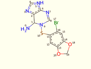 NC1c2nc[nH]c2N=CN1Sc1cc2c(cc1Br)OCO2